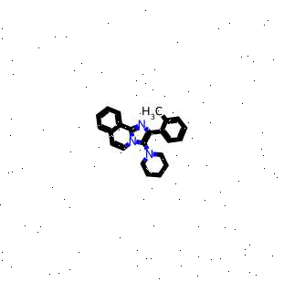 Cc1ccccc1-c1nc2c3ccccc3ccn2c1N1CCCCC1